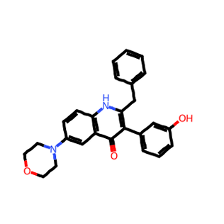 O=c1c(-c2cccc(O)c2)c(Cc2ccccc2)[nH]c2ccc(N3CCOCC3)cc12